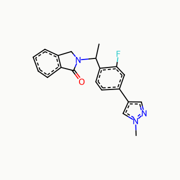 CC(c1ccc(-c2cnn(C)c2)cc1F)N1Cc2ccccc2C1=O